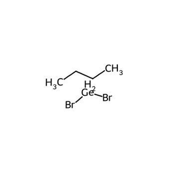 CCCC.[Br][GeH2][Br]